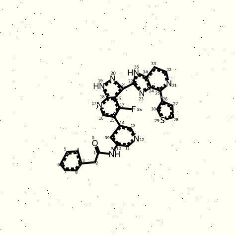 O=C(Cc1ccccc1)Nc1cncc(-c2cnc3[nH]nc(-c4nc5c(-c6ccsc6)nccc5[nH]4)c3c2F)c1